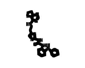 O=C(Nc1ncc(CCNc2ncnc3c2SCC3)s1)Nc1ccccc1Nc1ccccc1